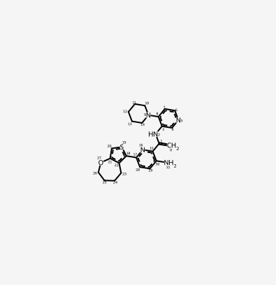 C=C(Nc1cnccc1N1CCCCC1)c1nc(-c2scc3c2CCCCO3)ccc1N